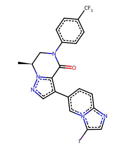 C[C@H]1CN(c2ccc(C(F)(F)F)cc2)C(=O)c2c(-c3ccc4ncc(I)n4c3)cnn21